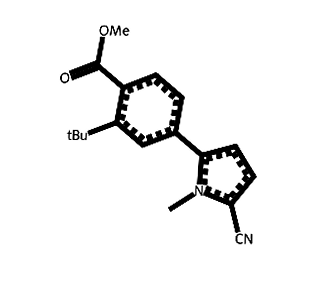 COC(=O)c1ccc(-c2ccc(C#N)n2C)cc1C(C)(C)C